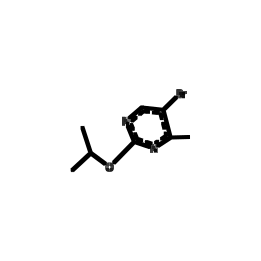 Cc1nc(OC(C)C)ncc1Br